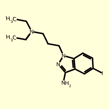 CCN(CC)CCCn1nc(N)c2cc(I)ccc21